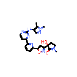 Cc1c(Nc2nccc(-c3cccc(-c4cc([C@]5(O)CCN(C)C5=O)no4)n3)n2)cnn1C